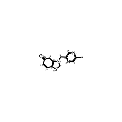 Cc1cnc(CN2CSC3=C2CC(=O)C=C3)cn1